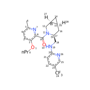 CCCOc1ccc(C)nc1C(=O)N1C[C@H]2C[C@H]2C[C@H]1CNc1ccc(C(F)(F)F)cn1